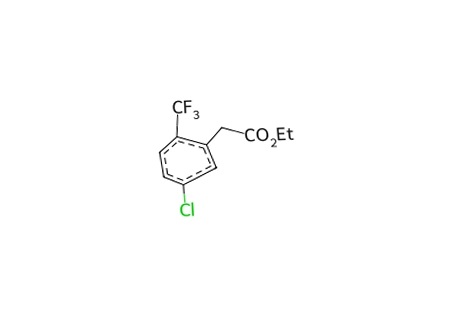 CCOC(=O)Cc1cc(Cl)ccc1C(F)(F)F